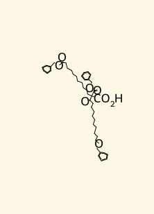 O=C(CCCCCCCCCCC(C(=O)O)(C(=O)CCCCCCCCCCOCc1ccccc1)C(=O)OCc1ccccc1)OCc1ccccc1